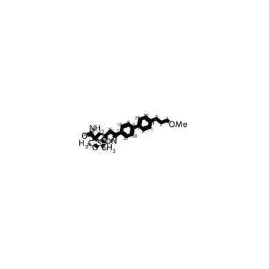 COCCCc1ccc(-c2ccc(C3=NO[C@@H](C[C@](C)(C(N)=O)S(C)(=O)=O)C3)cc2)cc1